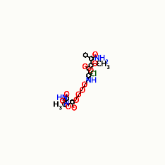 CCOc1cc2oc(-c3ccc(NCCOCCOCCOCCOc4ccc(C(=O)N(C)C5CCC(=O)NC5=O)c(C=O)c4)cc3Cl)cc(=O)c2cc1-c1cc(C(N)=O)cc(-c2ccccc2)c1